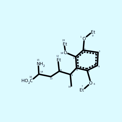 CCOc1ccc(OCC)c(C(C)C(CC)CC(N)C(=O)O)c1OCC